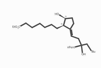 CCCCCC(O)(CC=C1CC[C@H](O)[C@@H]1CCCCCCC(=O)OCC)CC(C)CC